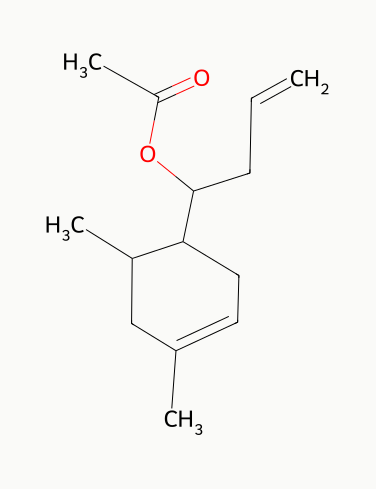 C=CCC(OC(C)=O)C1CC=C(C)CC1C